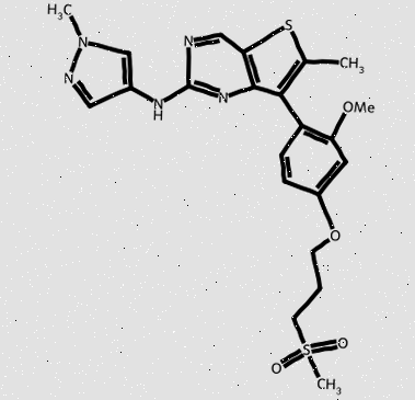 COc1cc(OCCCS(C)(=O)=O)ccc1-c1c(C)sc2cnc(Nc3cnn(C)c3)nc12